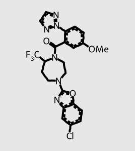 COc1ccc(-n2nccn2)c(C(=O)N2CCN(c3nc4cc(Cl)ccc4o3)CCC2C(F)(F)F)c1